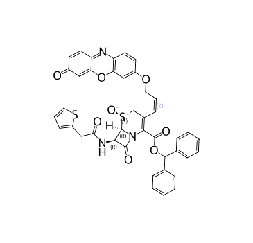 O=C(Cc1cccs1)N[C@@H]1C(=O)N2C(C(=O)OC(c3ccccc3)c3ccccc3)=C(/C=C\COc3ccc4nc5ccc(=O)cc-5oc4c3)C[S@+]([O-])[C@H]12